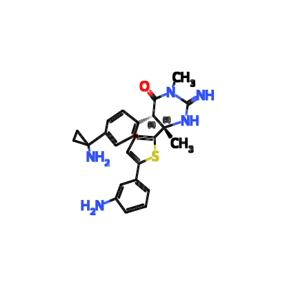 CN1C(=N)N[C@](C)(c2ccc(-c3cccc(N)c3)s2)[C@H](c2ccc(C3(N)CC3)cc2)C1=O